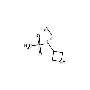 CS(=O)(=O)[C@H](CN)C1CNC1